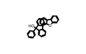 OC(c1ccccc1)(c1ccccc1)c1ccccc1-c1cccc2c1oc1ccccc12